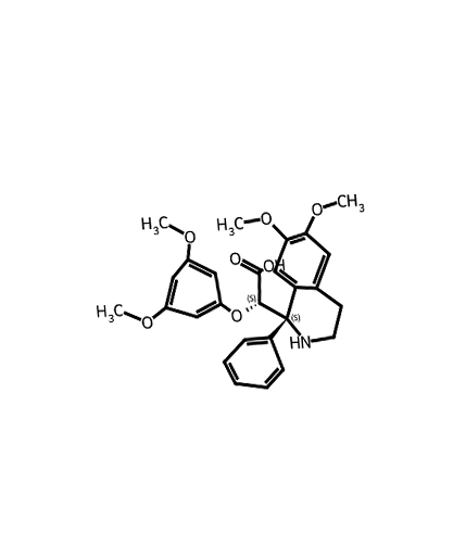 COc1cc(OC)cc(O[C@H](C(=O)O)[C@@]2(c3ccccc3)NCCc3cc(OC)c(OC)cc32)c1